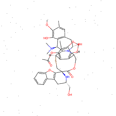 COc1c(C)cc2c(c1O)[C@H](N(C)C)C1[C@@H]3SC[C@]4(N[C@H](CO)Cc5c4oc4ccccc54)C(=O)OC[C@@H](c4c5c(c(C)c(OC(C)=O)c43)OCO5)N1[C@@H](O)C2